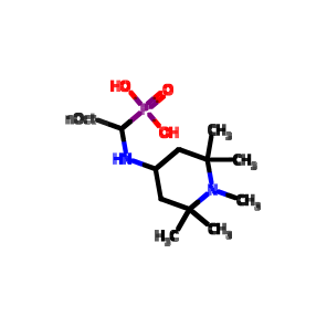 CCCCCCCCC(NC1CC(C)(C)N(C)C(C)(C)C1)P(=O)(O)O